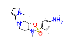 CN(C1CCN(Cc2cccn2C)CC1)S(=O)(=O)c1ccc(N)cc1